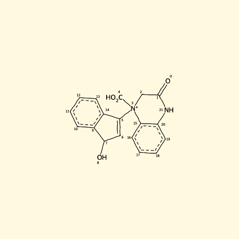 O=C1C[N+](C(=O)O)(C2=CC(O)c3ccccc32)c2ccccc2N1